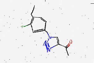 CCc1ccc(-n2cc(C(C)=O)nn2)cc1F